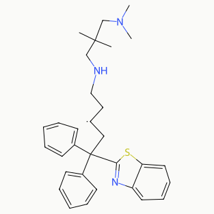 CN(C)CC(C)(C)CNCC[CH]CC(c1ccccc1)(c1ccccc1)c1nc2ccccc2s1